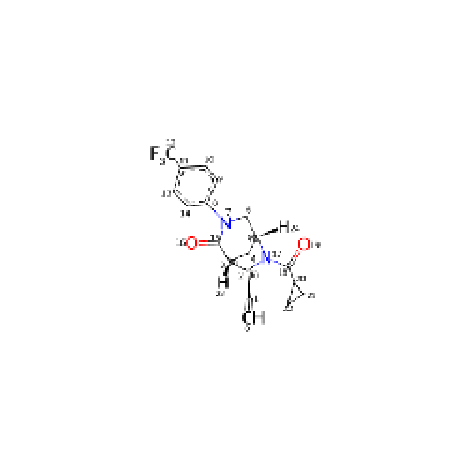 C#C[C@H]1[C@H]2C[C@H](CN(c3ccc(C(F)(F)F)cc3)C2=O)N1C(=O)C1CC1